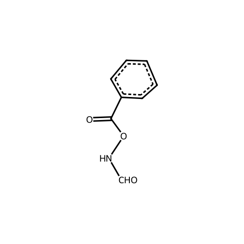 O=CNOC(=O)c1ccccc1